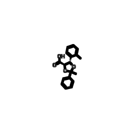 Cc1ccccc1[C@@H]1OC(C)(c2ccccc2)O[C@H]1C(=O)O